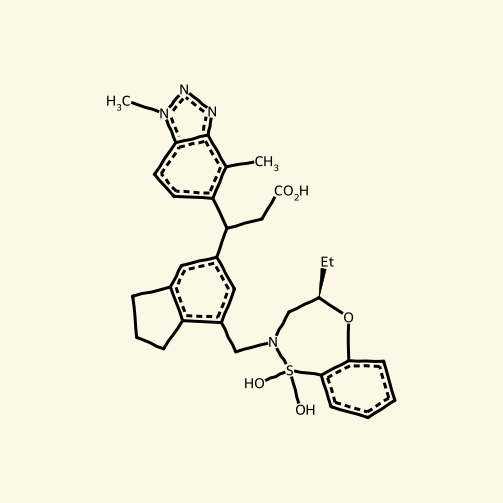 CC[C@@H]1CN(Cc2cc(C(CC(=O)O)c3ccc4c(nnn4C)c3C)cc3c2CCC3)S(O)(O)c2ccccc2O1